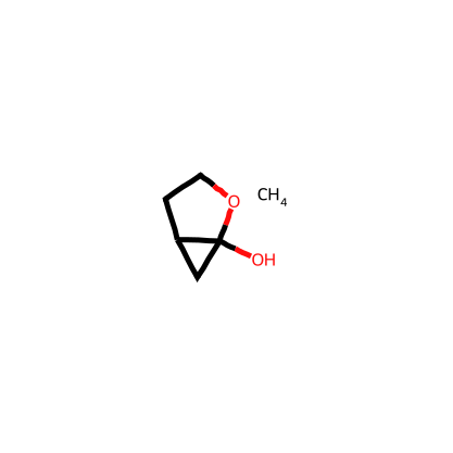 C.OC12CC1CCO2